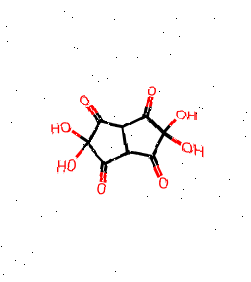 O=C1C2C(=O)C(O)(O)C(=O)C2C(=O)C1(O)O